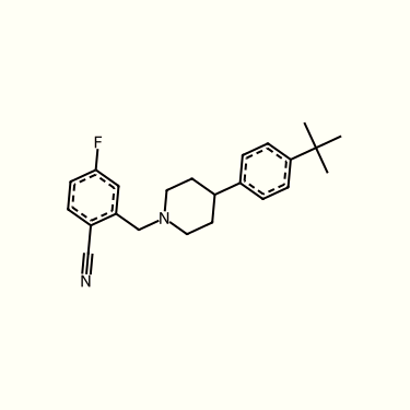 CC(C)(C)c1ccc(C2CCN(Cc3cc(F)ccc3C#N)CC2)cc1